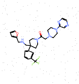 O=C(CN1CCN(c2cnccn2)CC1)N1CCC(CNCc2ccco2)(c2cccc(C(F)(F)F)c2)CC1